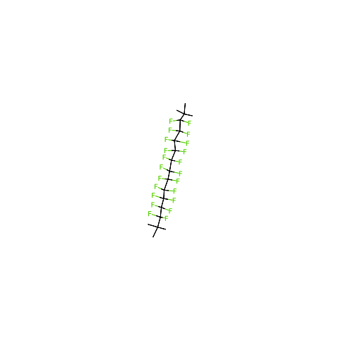 CC(C)(C)C(F)(F)C(F)(F)C(F)(F)C(F)(F)C(F)(F)C(F)(F)C(F)(F)C(F)(F)C(F)(F)C(F)(F)C(F)(F)C(C)(C)C